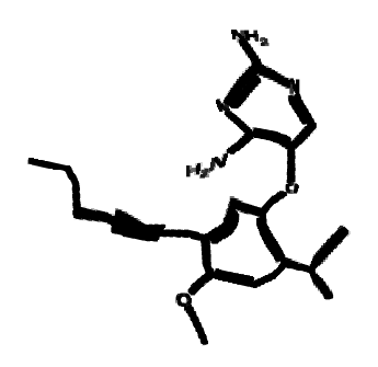 CCCC#Cc1cc(Oc2cnc(N)nc2N)c(C(C)C)cc1OC